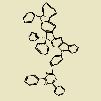 c1ccc(-c2nc(-c3ccccc3)nc(-c3ccc(-n4c5ccccc5c5cc6c(cc54)C(c4ccccc4)(c4ccccc4)c4cc5c(cc4-6)c4ccccc4n5-c4ccccc4)cc3)n2)cc1